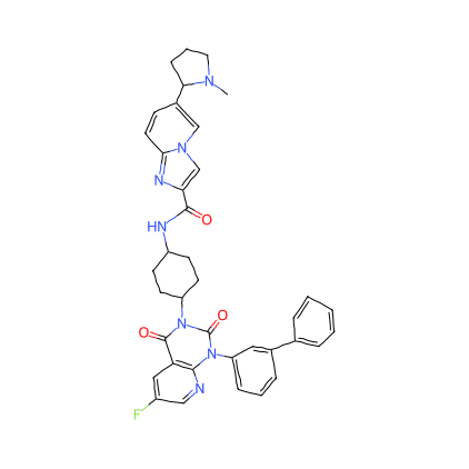 CN1CCCC1c1ccc2nc(C(=O)NC3CCC(n4c(=O)c5cc(F)cnc5n(-c5cccc(-c6ccccc6)c5)c4=O)CC3)cn2c1